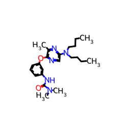 CCCCN(CCCC)c1cnc(Oc2cccc(NC(=O)N(C)C)c2)c(C)n1